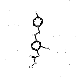 CCNC(=O)Oc1ccc(NCc2ccc(F)cc2)cc1N